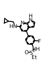 CC[S+]([O-])Nc1ccc(-c2cc(NCC3CC3)nc3[nH]ccc23)cc1F